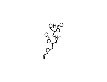 C=CCOCC(CN(C)CC(CO)OC=O)OC=O